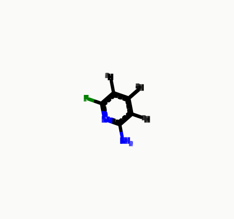 [2H]c1c(N)nc(F)c([2H])c1[2H]